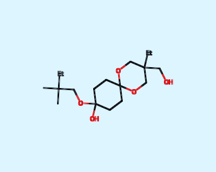 CCC(C)(C)COC1(O)CCC2(CC1)OCC(CC)(CO)CO2